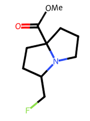 COC(=O)C12CCCN1C(CF)CC2